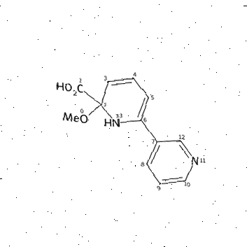 COC1(C(=O)O)C=CC=C(c2cccnc2)N1